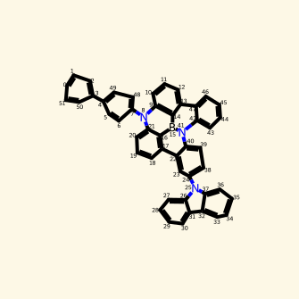 c1ccc(-c2ccc(N3c4cccc5c4B4c6c(cccc63)-c3cc(-n6c7ccccc7c7ccccc76)ccc3N4c3ccccc3-5)cc2)cc1